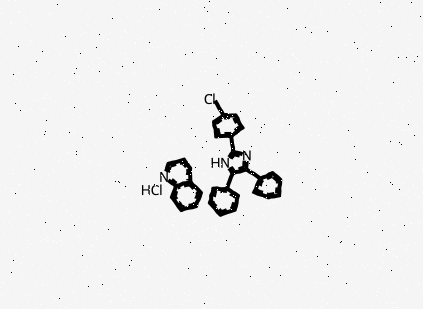 Cl.Clc1ccc(-c2nc(-c3ccccc3)c(-c3ccccc3)[nH]2)cc1.c1ccc2ncccc2c1